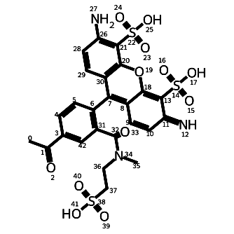 CC(=O)c1ccc(-c2c3ccc(=N)c(S(=O)(=O)O)c-3oc3c(S(=O)(=O)O)c(N)ccc23)c(C(=O)N(C)CCS(=O)(=O)O)c1